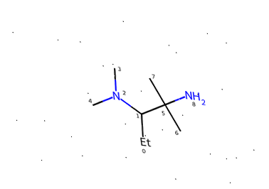 CCC(N(C)C)C(C)(C)N